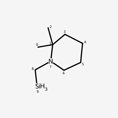 CC1(C)CCCCN1C[SiH3]